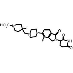 O=C1CCC(N2Cc3c(ccc(N4CCN(CC5(F)CCN(C(=O)O)CC5)CC4)c3F)C2=O)C(=O)N1